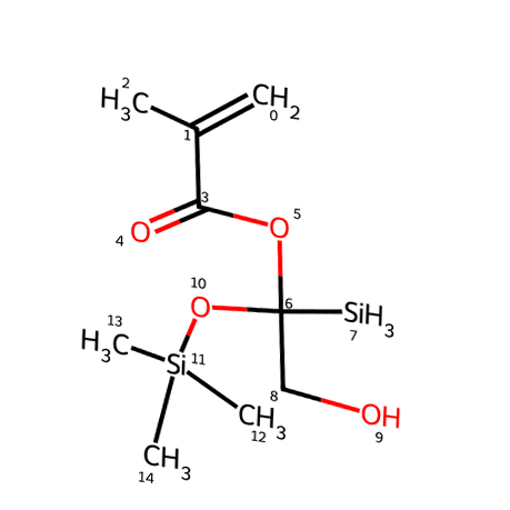 C=C(C)C(=O)OC([SiH3])(CO)O[Si](C)(C)C